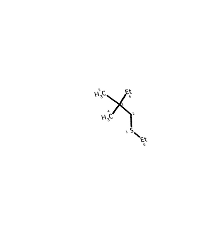 [CH2]CSCC(C)(C)CC